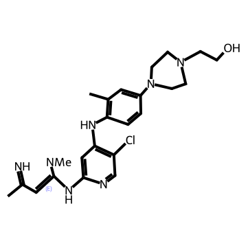 CN/C(=C\C(C)=N)Nc1cc(Nc2ccc(N3CCN(CCO)CC3)cc2C)c(Cl)cn1